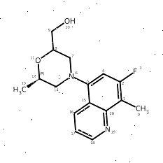 Cc1c(F)cc(N2CC(CO)O[C@H](C)C2)c2cccnc12